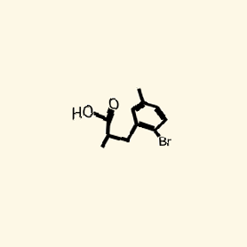 Cc1ccc(Br)c(CC(C)C(=O)O)c1